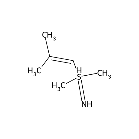 CC(C)=C[SH](C)(C)=N